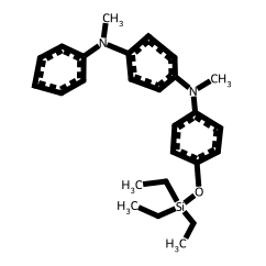 CC[Si](CC)(CC)Oc1ccc(N(C)c2ccc(N(C)c3ccccc3)cc2)cc1